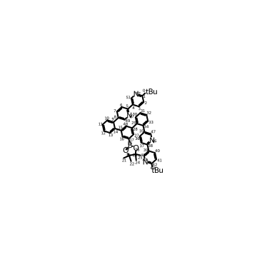 CC(C)(C)c1ccc(-c2ccc(-c3ccccc3-c3cc(B4OC(C)(C)C(C)(C)O4)cc(-c4ccccc4-c4ccc(-c5ccc(C(C)(C)C)nc5)nc4)c3)cn2)cn1